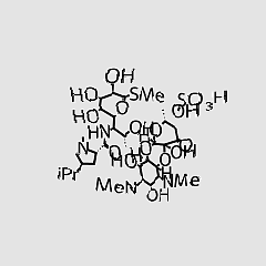 CN[C@@H]1[C@H](O)[C@H](NC)[C@H]2O[C@@]3(O)C(=O)C[C@@H](C)O[C@H]3O[C@@H]2[C@H]1O.CS[C@H]1O[C@H]([C@H](NC(=O)[C@@H]2C[C@@H](C(C)C)CN2C)[C@@H](C)O)[C@H](O)[C@H](O)[C@H]1O.O=S(=O)(O)O